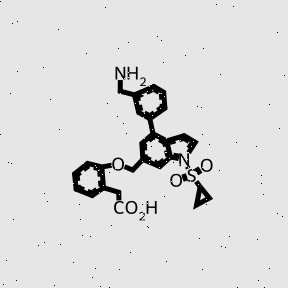 NCc1cccc(-c2cc(COc3ccccc3CC(=O)O)cc3c2ccn3S(=O)(=O)C2CC2)c1